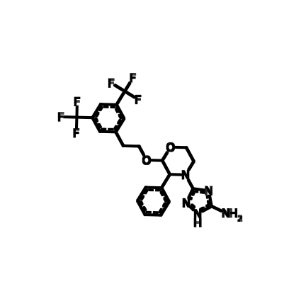 Nc1nc(N2CCOC(OCCc3cc(C(F)(F)F)cc(C(F)(F)F)c3)C2c2ccccc2)n[nH]1